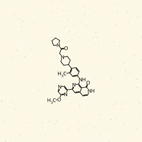 COc1cncc(-c2cc3cc[nH]c(=O)c3c(Nc3ccc(C4CCN(CC(=O)N5CCCC5)CC4)c(C)c3)n2)n1